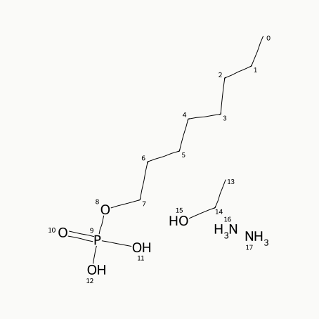 CCCCCCCCOP(=O)(O)O.CCO.N.N